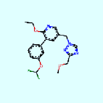 CCOc1ncc(Cn2cnc(COC)n2)cc1-c1cccc(OC(F)F)c1